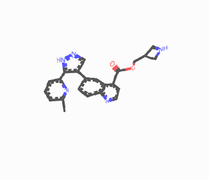 Cc1cccc(-c2[nH]ncc2-c2ccc3nccc(C(=O)OCC4CNC4)c3c2)n1